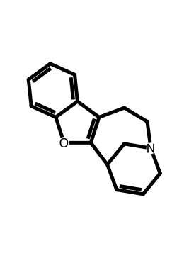 C1=CC2CN(C1)CCc1c2oc2ccccc12